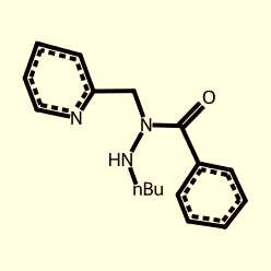 CCCCNN(Cc1ccccn1)C(=O)c1ccccc1